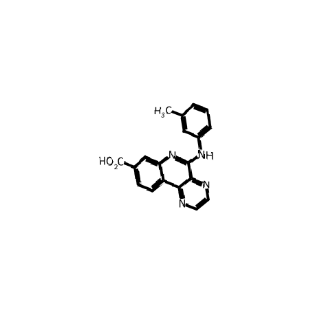 Cc1cccc(Nc2nc3cc(C(=O)O)ccc3c3nccnc23)c1